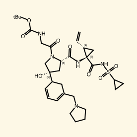 C=C[C@@H]1C[C@]1(NC(=O)[C@@H]1C[C@@](O)(C2C=CC=C(CN3CCCC3)C2)CN1C(=O)CNC(=O)OC(C)(C)C)C(=O)NS(=O)(=O)C1CC1